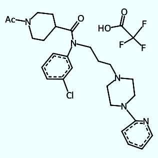 CC(=O)N1CCC(C(=O)N(CCCN2CCN(c3ccccn3)CC2)c2cccc(Cl)c2)CC1.O=C(O)C(F)(F)F